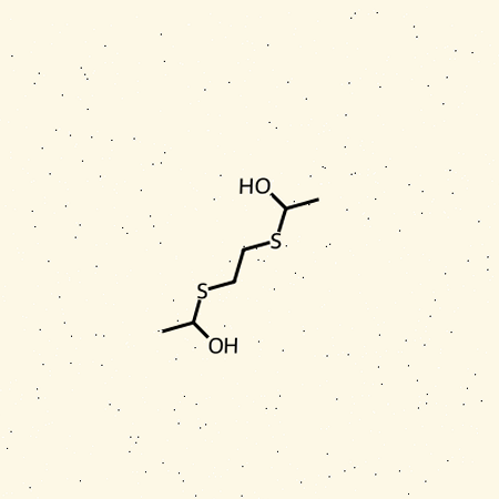 CC(O)SCCSC(C)O